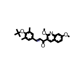 COc1ccc2cc(C(=O)/C=C/c3cc(C)c(OC(C)(C)C)c(C)c3)c(OC)nc2c1